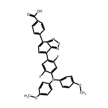 COc1ccc(N(c2ccc(OC)cc2)c2cc(F)c(-c3ccc(-c4ccc(C(=O)O)cc4)c4nsnc34)cc2F)cc1